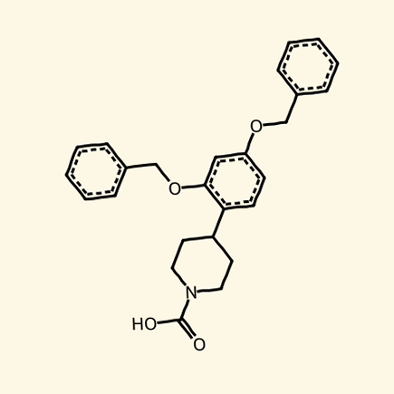 O=C(O)N1CCC(c2ccc(OCc3ccccc3)cc2OCc2ccccc2)CC1